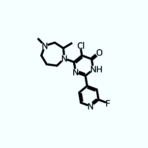 CC1CN(C)CCCN1c1nc(-c2ccnc(F)c2)[nH]c(=O)c1Cl